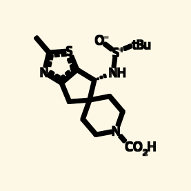 Cc1nc2c(s1)[C@H](N[S+]([O-])C(C)(C)C)C1(CCN(C(=O)O)CC1)C2